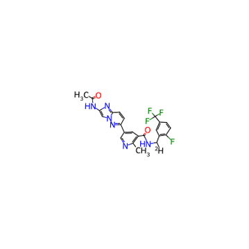 [2H]C(NC(=O)c1cc(-c2ccc3nc(NC(C)=O)cn3n2)cnc1C)c1cc(C(F)(F)F)ccc1F